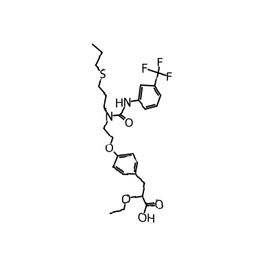 CCCSCCCN(CCOc1ccc(CC(OCC)C(=O)O)cc1)C(=O)Nc1cccc(C(F)(F)F)c1